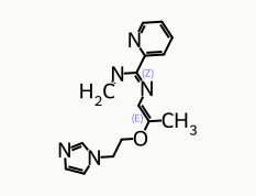 C=N/C(=N\C=C(/C)OCCn1ccnc1)c1ccccn1